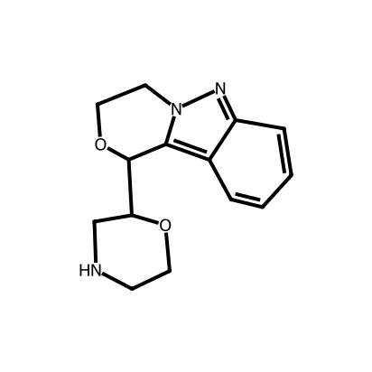 c1ccc2c3n(nc2c1)CCOC3C1CNCCO1